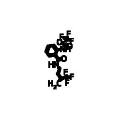 C=C(CCNC(=O)c1ccccc1NS(=O)(=O)C(F)(F)F)C(F)(F)F